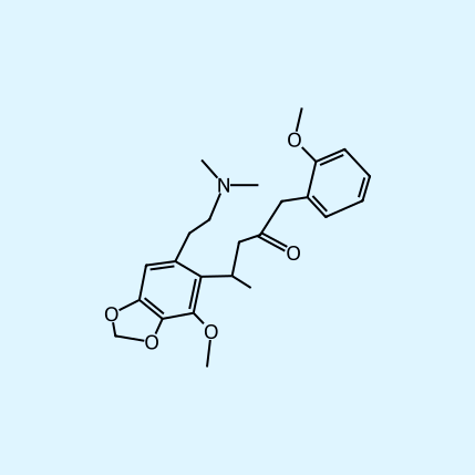 COc1ccccc1CC(=O)CC(C)c1c(CCN(C)C)cc2c(c1OC)OCO2